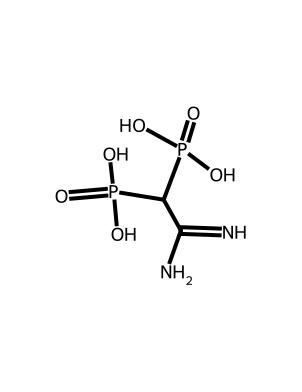 N=C(N)C(P(=O)(O)O)P(=O)(O)O